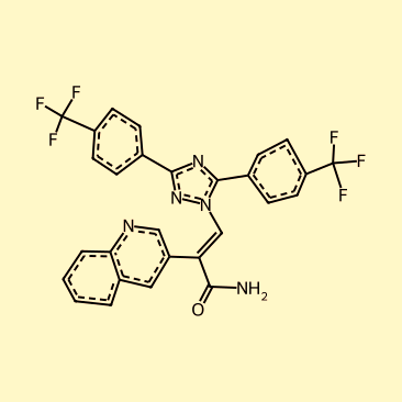 NC(=O)/C(=C/n1nc(-c2ccc(C(F)(F)F)cc2)nc1-c1ccc(C(F)(F)F)cc1)c1cnc2ccccc2c1